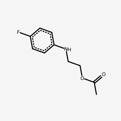 CC(=O)OCCNc1ccc(F)cc1